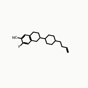 C=CCCC1CCC(C2CCc3cc(C#N)c(F)cc3C2)CC1